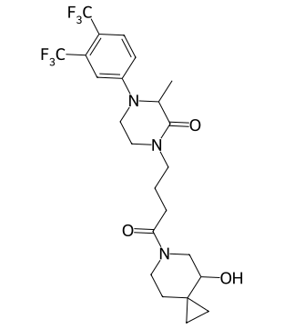 CC1C(=O)N(CCCC(=O)N2CCC3(CC3)C(O)C2)CCN1c1ccc(C(F)(F)F)c(C(F)(F)F)c1